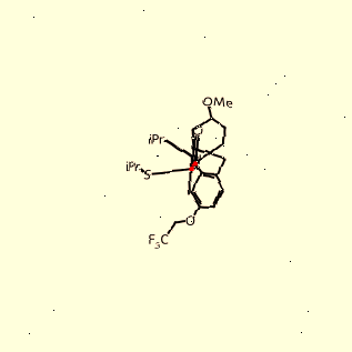 COC1CCC2(CC1)Cc1ccc(OCC(F)(F)F)cc1C21N=C(SC(C)C)N(C(C)C)C1=O